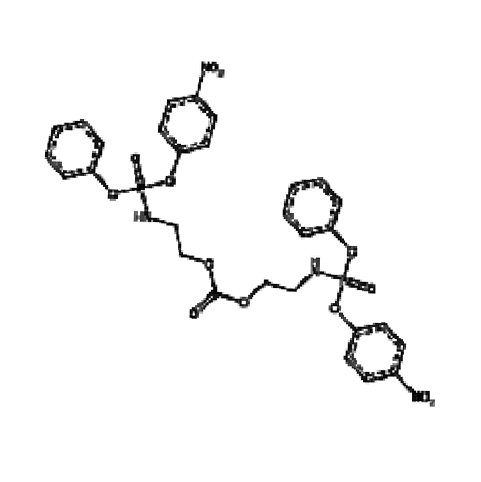 O=C(OCCNP(=O)(Oc1ccccc1)Oc1ccc([N+](=O)[O-])cc1)OCCNP(=O)(Oc1ccccc1)Oc1ccc([N+](=O)[O-])cc1